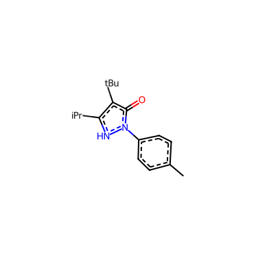 Cc1ccc(-n2[nH]c(C(C)C)c(C(C)(C)C)c2=O)cc1